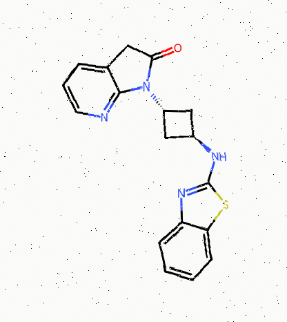 O=C1Cc2cccnc2N1[C@H]1C[C@H](Nc2nc3ccccc3s2)C1